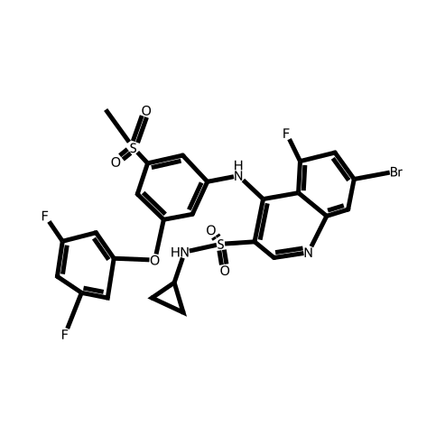 CS(=O)(=O)c1cc(Nc2c(S(=O)(=O)NC3CC3)cnc3cc(Br)cc(F)c23)cc(Oc2cc(F)cc(F)c2)c1